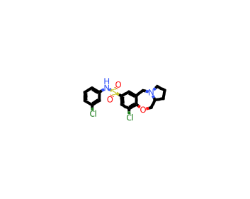 O=S(=O)(Nc1cccc(Cl)c1)c1cc(Cl)c2c(c1)CN1CCCC1CO2